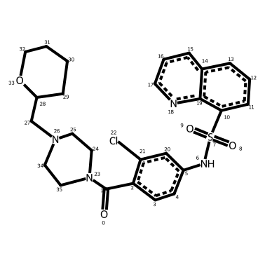 O=C(c1ccc(NS(=O)(=O)c2cccc3cccnc23)cc1Cl)N1CCN(CC2CCCCO2)CC1